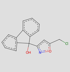 OC1(c2cc(CCl)on2)c2ccccc2-c2ccccc21